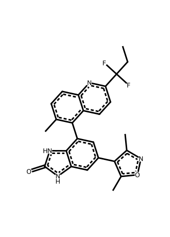 CCC(F)(F)c1ccc2c(-c3cc(-c4c(C)noc4C)cc4[nH]c(=O)[nH]c34)c(C)ccc2n1